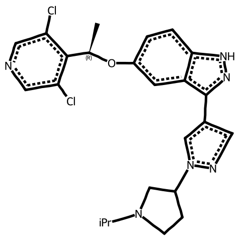 CC(C)N1CCC(n2cc(-c3n[nH]c4ccc(O[C@H](C)c5c(Cl)cncc5Cl)cc34)cn2)C1